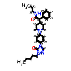 CCCCCn1ncn(-c2ccc(N3CCC(C(C(=O)NCCC)c4ccccc4)CC3)cc2)c1=O